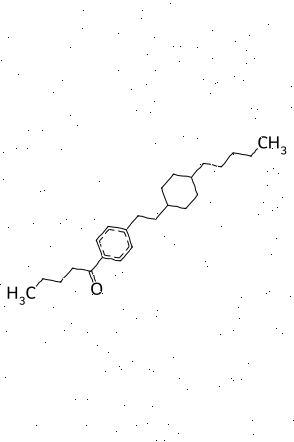 CCCCCC1CCC(CCc2ccc(C(=O)CCCC)cc2)CC1